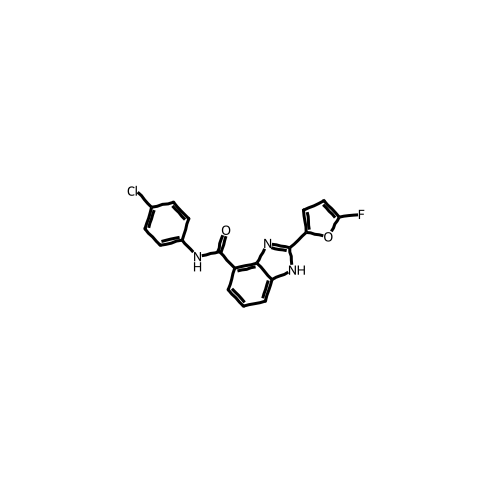 O=C(Nc1ccc(Cl)cc1)c1cccc2[nH]c(-c3ccc(F)o3)nc12